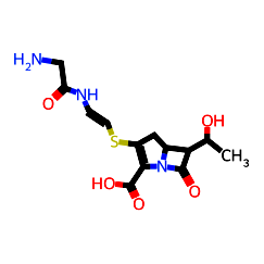 CC(O)C1C(=O)N2C(C(=O)O)=C(SC=CNC(=O)CN)CC12